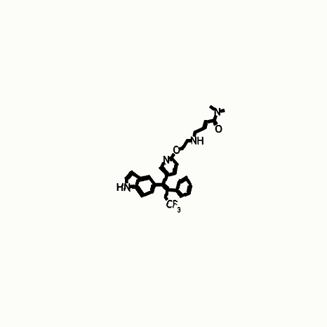 CN(C)C(=O)/C=C/CNCCOc1ccc(/C(=C(/CC(F)(F)F)c2ccccc2)c2ccc3[nH]ccc3c2)cn1